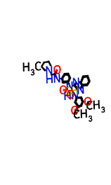 COc1cc(Nc2nc3ccccc3nc2N(c2cccc(NC(=O)CN3CCCC(C)C3)c2)[SH](=O)=O)cc(OC)c1